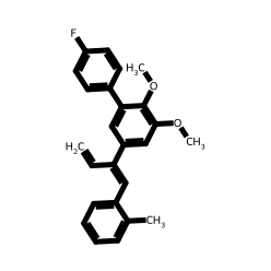 C=C/C(=C\c1ccccc1C)c1cc(OC)c(OC)c(-c2ccc(F)cc2)c1